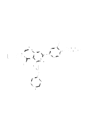 COc1ccc(-c2cc3ncn(C)c(=O)c3c(NCc3ccncc3)n2)cc1CF